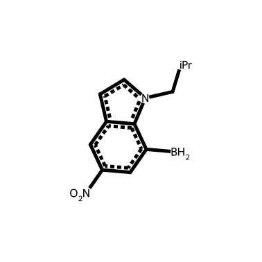 Bc1cc([N+](=O)[O-])cc2ccn(CC(C)C)c12